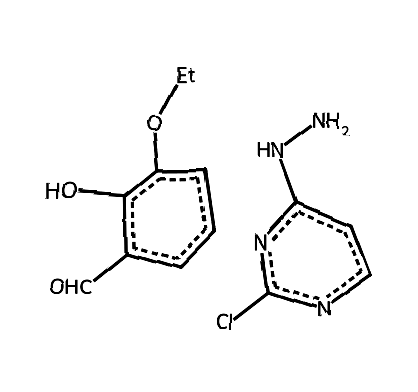 CCOc1cccc(C=O)c1O.NNc1ccnc(Cl)n1